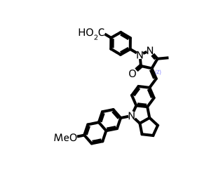 COc1ccc2cc(N3c4ccc(/C=C5\C(=O)N(c6ccc(C(=O)O)cc6)N=C5C)cc4C4CCCC43)ccc2c1